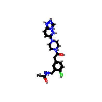 CC(C)C(=O)NCc1cc(CC(=O)N2CCN(c3ccc4nncn4n3)CC2)ccc1Cl